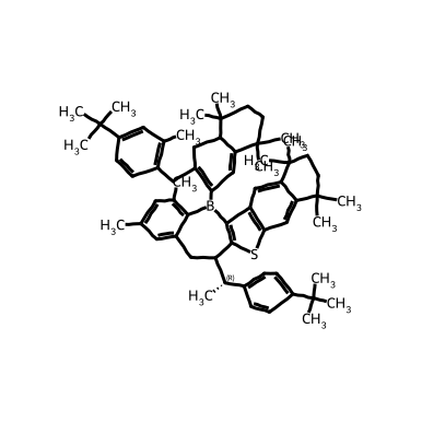 Cc1cc(C)c2c(c1)CC([C@@H](C)c1ccc(C(C)(C)C)cc1)c1sc3cc4c(cc3c1B2C1=C(Cc2ccc(C(C)(C)C)cc2C)CC2C(=C1)C(C)(C)CCC2(C)C)C(C)(C)CCC4(C)C